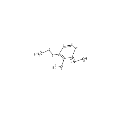 CCOC1=C(CCC(=O)O)C=CCC1=NO